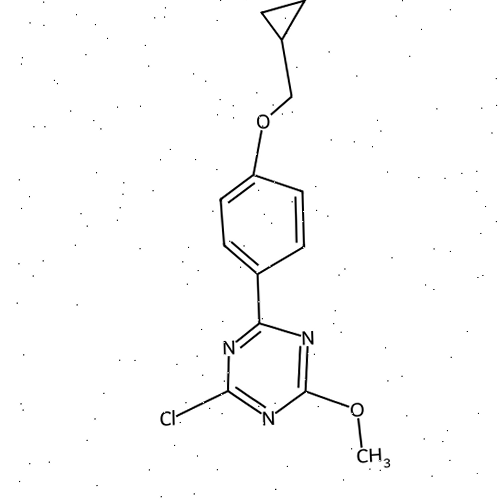 COc1nc(Cl)nc(-c2ccc(OCC3CC3)cc2)n1